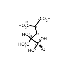 O=C(O)C(CC(O)(C(=O)O)P(=O)(O)O)C(=O)O